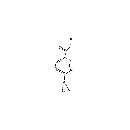 O=C(CBr)c1cnc(C2CC2)nc1